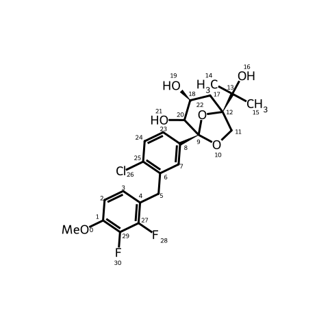 COc1ccc(Cc2cc([C@@]34OC[C@@](C(C)(C)O)(C[C@H](O)C3O)O4)ccc2Cl)c(F)c1F